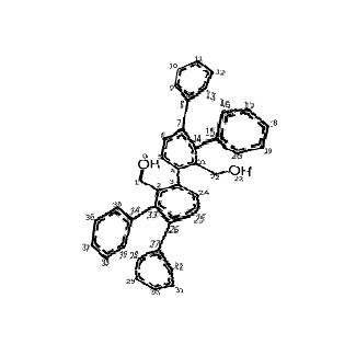 OCc1c(-c2ccc(-c3ccccc3)c(-c3ccccc3)c2CO)ccc(-c2ccccc2)c1-c1ccccc1